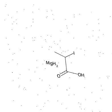 CC(I)C(=O)O.[MgH2]